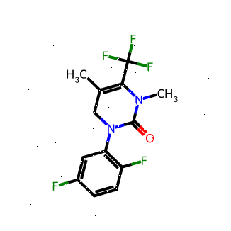 CC1=C(C(F)(F)F)N(C)C(=O)N(c2cc(F)ccc2F)C1